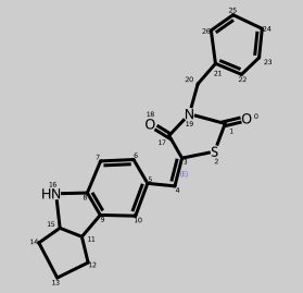 O=C1S/C(=C/c2ccc3c(c2)C2CCCC2N3)C(=O)N1Cc1ccccc1